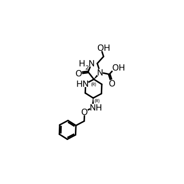 NC(=O)[C@]1(N(CCO)C(=O)O)CC[C@@H](NOCc2ccccc2)CN1